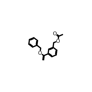 C=C(OCc1ccccc1)c1cccc(COC(C)=O)c1